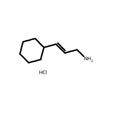 Cl.NCC=CC1CCCCC1